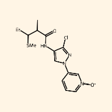 CCC(SC)C(C)C(=O)Nc1cn(-c2ccc[n+]([O-])c2)nc1Cl